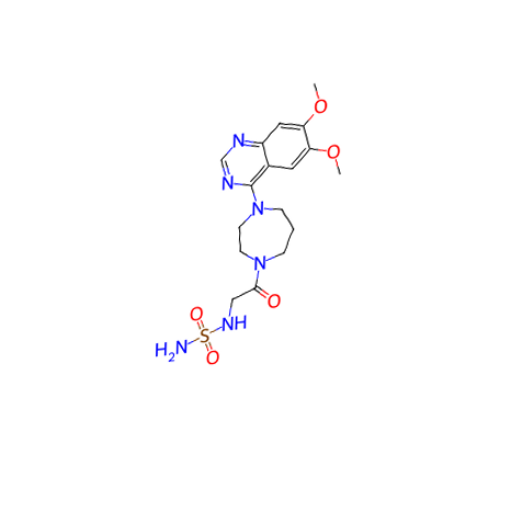 COc1cc2ncnc(N3CCCN(C(=O)CNS(N)(=O)=O)CC3)c2cc1OC